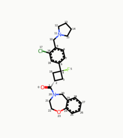 O=C([C@H]1C[C@@](F)(c2ccc(CN3CCCC3)c(Cl)c2)C1)N1CCOc2ccccc2C1